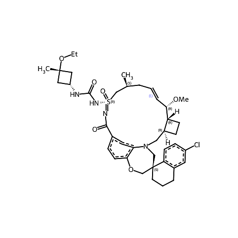 CCO[C@]1(C)C[C@H](NC(=O)N[S@@]2(=O)=NC(=O)c3ccc4c(c3)N(C[C@@H]3CC[C@H]3[C@@H](OC)/C=C/C[C@H](C)C2)C[C@@]2(CCCc3cc(Cl)ccc32)CO4)C1